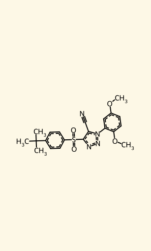 COc1ccc(OC)c(-n2nnc(S(=O)(=O)c3ccc(C(C)(C)C)cc3)c2C#N)c1